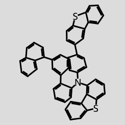 c1cc(-c2ccccc2N(c2ccc(-c3ccc4sc5ccccc5c4c3)cc2)c2cccc3sc4ccccc4c23)cc(-c2cccc3ccccc23)c1